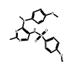 COc1ccc(N(C)c2nc(C)ncc2NS(=O)(=O)c2ccc(OC)cc2)cc1